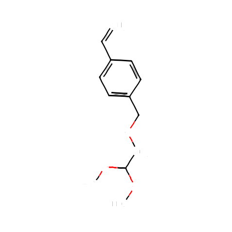 C=Cc1ccc(CO[SiH2]C(OC)OC)cc1